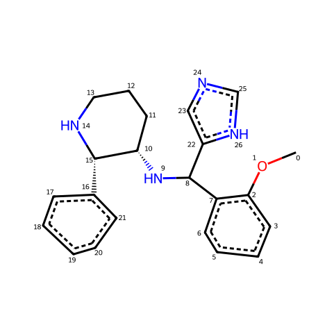 COc1ccccc1C(N[C@H]1CCCN[C@H]1c1ccccc1)c1cnc[nH]1